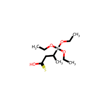 CCO[Si](OCC)(OCC)C(C)CC(O)=S